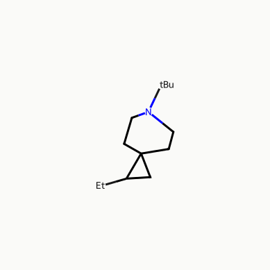 CCC1CC12CCN(C(C)(C)C)CC2